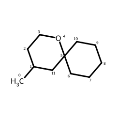 CC1CCOC2(CCCCC2)C1